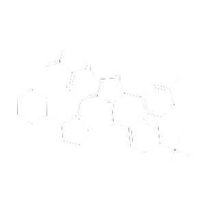 Cc1cccc(-c2nc3nc(C(=O)O)nc(N4CCCC4C4CCCCC4)c3n2Cc2ccc(C(F)(F)F)cc2)c1